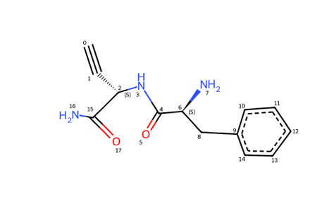 C#C[C@H](NC(=O)[C@@H](N)Cc1ccccc1)C(N)=O